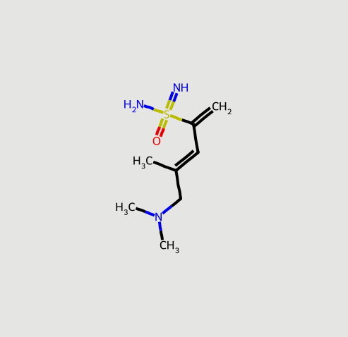 C=C(/C=C(\C)CN(C)C)S(=N)(N)=O